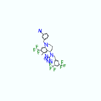 Cc1cc2c(cc1C(F)(F)F)N(Cc1cccc(C#N)c1)CCCC2N(Cc1cc(C(F)(F)F)cc(C(F)(F)F)c1)c1nnn(C)n1